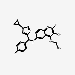 CC(C)(C)CNc1c(C#N)c(F)nc2ccc(NC(c3ccc(F)cc3)c3cn(C4CC4)nn3)cc12